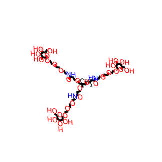 CC(COCCC(=O)NCCOCCOCCO[C@H]1OC(CO)[C@@H](O)C(O)C1O)(COCCC(=O)NCCOCCOCCO[C@H]1OC(CO)[C@@H](O)C(O)C1O)COCCC(=O)NCCOCCOCCO[C@H]1OC(CO)[C@@H](O)C(O)[C@H]1O